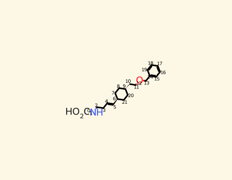 O=C(O)NCCC=C[C@H]1CC[C@H](CCOCc2ccccc2)CC1